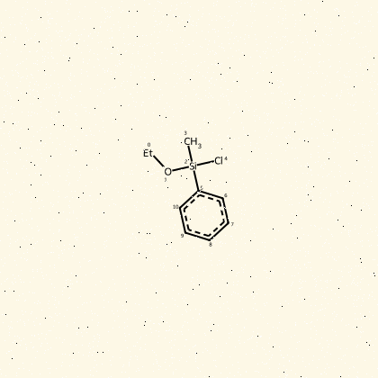 CCO[Si](C)(Cl)c1ccccc1